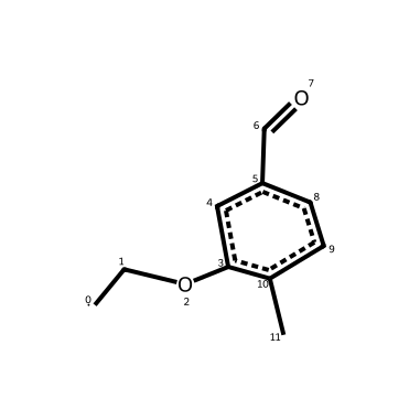 [CH2]COc1cc(C=O)ccc1C